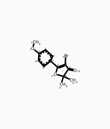 COc1ccc(C2=C(Br)C(=O)C(C)(C)O2)cc1